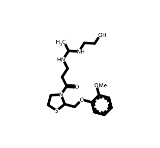 COc1ccccc1OCC1SCCN1C(=O)CCNC(C)NCCO